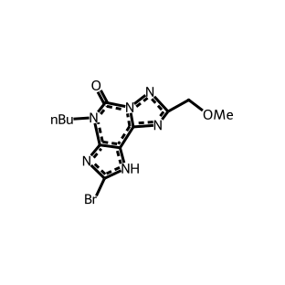 CCCCn1c(=O)n2nc(COC)nc2c2[nH]c(Br)nc21